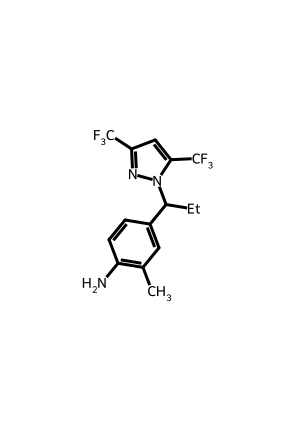 CCC(c1ccc(N)c(C)c1)n1nc(C(F)(F)F)cc1C(F)(F)F